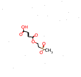 CS(=O)(=O)CCOC(=O)/C=C/C(=O)O